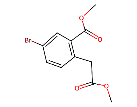 COC(=O)Cc1ccc(Br)cc1C(=O)OC